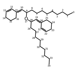 CCCCCCCCCC(C=C1C=CCCC1)OC(C=C1C=CCCC1)CCCCCCCCC